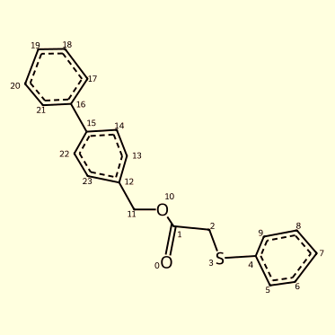 O=C(CSc1ccccc1)OCc1ccc(-c2ccccc2)cc1